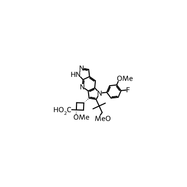 COCC(C)(C)c1c([C@H]2C[C@](OC)(C(=O)O)C2)c2nc3[nH]ncc3cc2n1-c1ccc(F)c(OC)c1